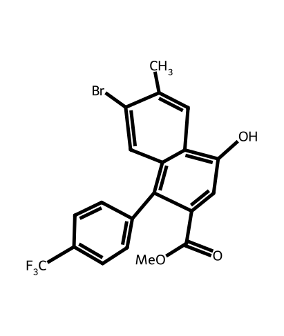 COC(=O)c1cc(O)c2cc(C)c(Br)cc2c1-c1ccc(C(F)(F)F)cc1